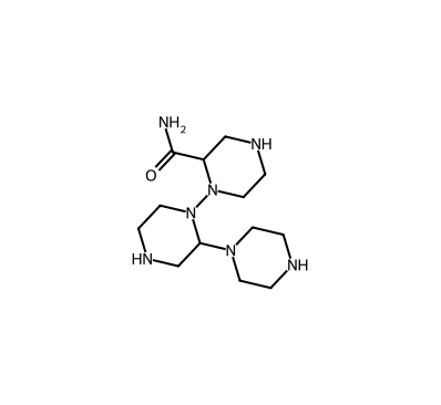 NC(=O)C1CNCCN1N1CCNCC1N1CCNCC1